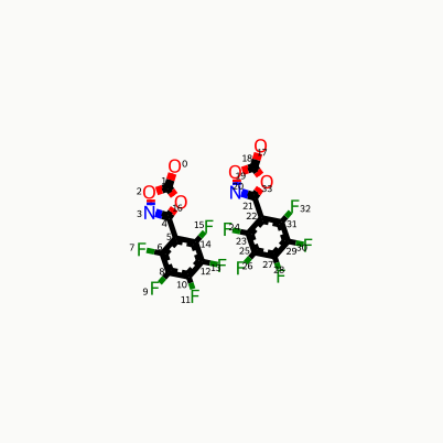 O=c1onc(-c2c(F)c(F)c(F)c(F)c2F)o1.O=c1onc(-c2c(F)c(F)c(F)c(F)c2F)o1